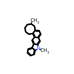 C[C@@H]1CCCCc2c(ccc3cc4c(cc23)c2ccccc2n4C)C1